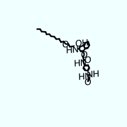 CCCCCCCCCCCCOCCCNc1cc(OCC(=O)Nc2ccc(NNC=O)cc2)c2ccccc2c1O